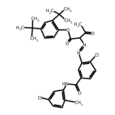 CC(=O)C(N=Nc1cc(C(=O)Nc2cc(Cl)ccc2C)ccc1Cl)C(=O)Oc1ccc(C(C)(C)C)cc1C(C)(C)C